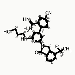 CC(F)(F)c1cccc2c1CN(c1cc(-c3ccc(C#N)cc3C(=N)N)cc(NCCCO)n1)C2=O